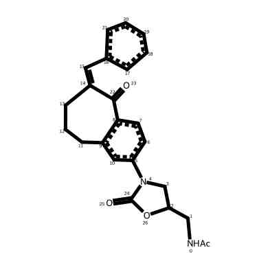 CC(=O)NCC1CN(c2ccc3c(c2)CCCC(=Cc2ccccc2)C3=O)C(=O)O1